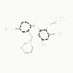 COCOc1c(C)cc(C)cc1Pc1ccc(C)cc1CN1CCCCC1